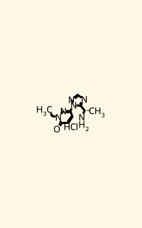 CCn1nc(-n2ncnc2[C@H](C)N)ccc1=O.Cl